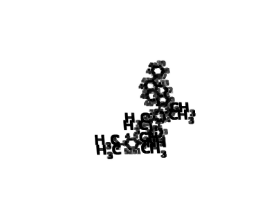 CC(C)c1ccc(C(C)(C)Nc2ccc3c(c2)C(C)(C)c2cc4c(cc2-3)C(C)(C)c2cc3ccc5c(-c6ccccc6)ccc6ccc(c2-4)c3c65)cc1